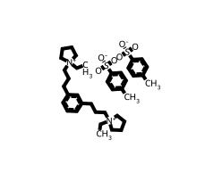 CC[N+]1(CCCc2cccc(CCC[N+]3(CC)CCCC3)c2)CCCC1.Cc1ccc(S(=O)(=O)[O-])cc1.Cc1ccc(S(=O)(=O)[O-])cc1